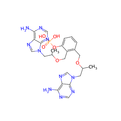 CC(Cn1cnc2c(N)ncnc21)OCc1cccc(OP(=O)(O)O)c1COC(C)Cn1cnc2c(N)ncnc21